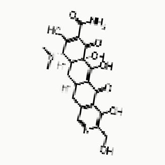 CN(C)[C@@H]1C(O)=C(C(N)=O)C(=O)[C@@]2(O)C(O)=C3C(=O)c4c(cnc(CO)c4O)C[C@H]3C[C@@H]12